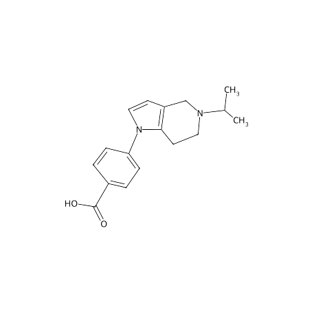 CC(C)N1CCc2c(ccn2-c2ccc(C(=O)O)cc2)C1